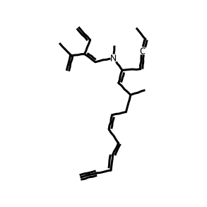 C#CC=C=C/C=C\CC(C)/C=C(\C=C=CC)N(C)/C=C(\C=C)C(=C)C